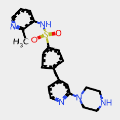 Cc1ncccc1NS(=O)(=O)c1ccc(-c2ccnc(N3CCNCC3)c2)cc1